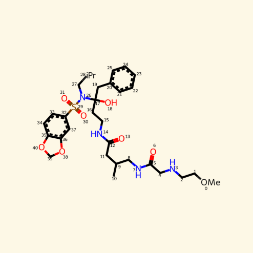 COCCNCC(=O)NCC(C)CC(=O)NCCC(O)(Cc1ccccc1)N(CC(C)C)S(=O)(=O)c1ccc2c(c1)OCO2